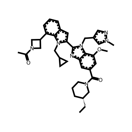 CC[C@@H]1CCCN(C(=O)c2cc(OC)c3c(c2)nc(-c2cc4cccc(C5CN(C(C)=O)C5)c4n2CC2CC2)n3Cc2cnn(C)c2)C1